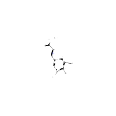 COC(=O)/C=C/c1cc(C)c(C=O)c(F)c1